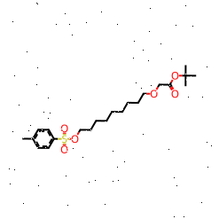 Cc1ccc(S(=O)(=O)OCCCCCCCCCOCC(=O)OC(C)(C)C)cc1